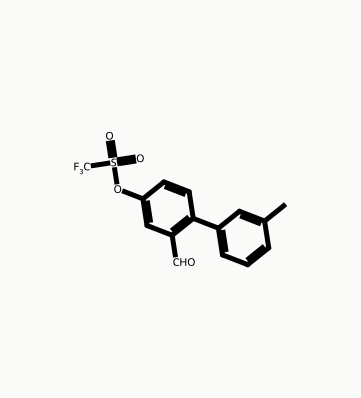 Cc1cccc(-c2ccc(OS(=O)(=O)C(F)(F)F)cc2C=O)c1